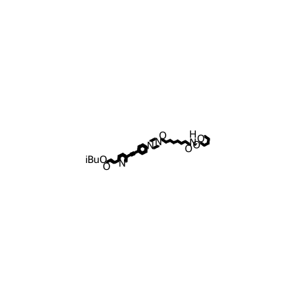 CC(C)COC(=O)/C=C/c1ccc(C#Cc2ccc(N3CCN(C(=O)CCCCCCC(=O)NOC4CCCCO4)CC3)cc2)cn1